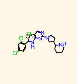 CC(Nc1nc(N2CCC(C3CCCCN3)C2)ncc1Cl)c1ccc(Cl)cc1Cl